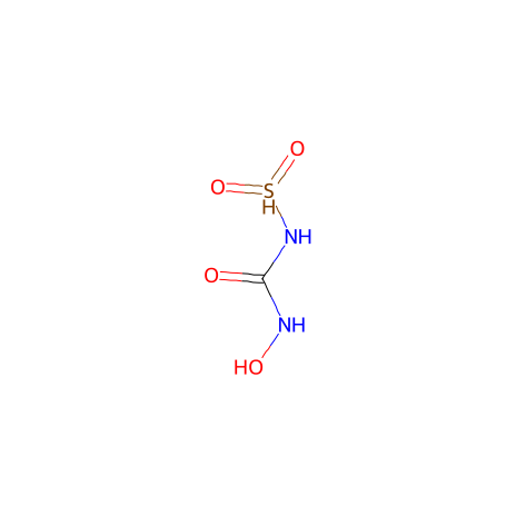 O=C(NO)N[SH](=O)=O